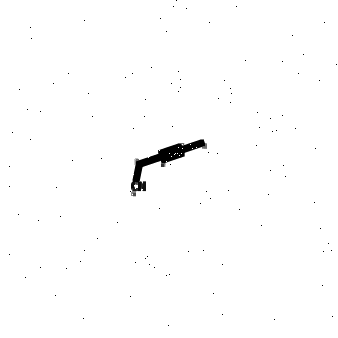 CC#CCC#N